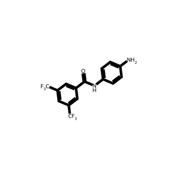 Nc1ccc(NC(=O)c2cc(C(F)(F)F)cc(C(F)(F)F)c2)cc1